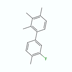 Cc1ccc(-c2ccc(C)c(C)c2C)cc1F